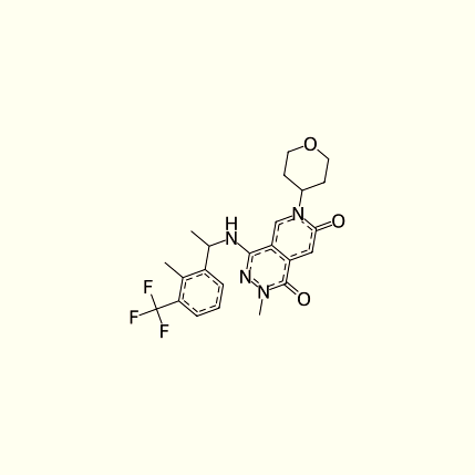 Cc1c(C(C)Nc2nn(C)c(=O)c3cc(=O)n(C4CCOCC4)cc23)cccc1C(F)(F)F